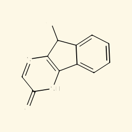 O=c1cnc2c([nH]1)-c1ccccc1C2Cl